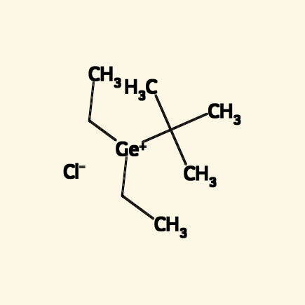 C[CH2][Ge+]([CH2]C)[C](C)(C)C.[Cl-]